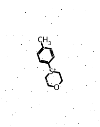 Cc1ccc([S+]2CCOCC2)cc1